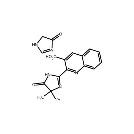 CC(C)C1(C)N=C(c2nc3ccccc3cc2C(=O)O)NC1=O.O=C1CNC=N1